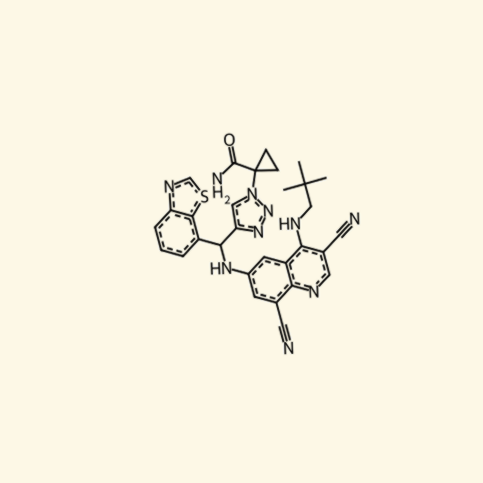 CC(C)(C)CNc1c(C#N)cnc2c(C#N)cc(NC(c3cn(C4(C(N)=O)CC4)nn3)c3cccc4ncsc34)cc12